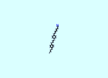 CCCCc1ccc(CCCC[C@H]2CC[C@H](CC/C=C/C=C/C#N)CC2)cc1